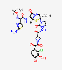 CC(C)(O/N=C(\C(=O)N[C@@H]1C(=O)N2C[C@@](C(=O)O)(N3CCN(NC(=O)C4CN(C(=O)C(=O)c5ccc(O)c(O)c5Cl)C4)C3=O)S[C@H]12)c1csc(N)n1)C(=O)O